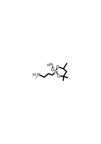 CCCO[Si]1(CCCN)OC(C)CC(C)(C)O1